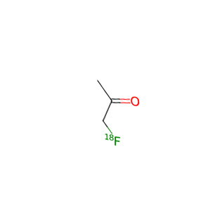 CC(=O)C[18F]